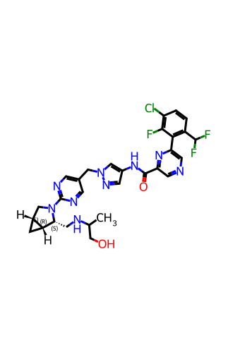 CC(CO)NC[C@@H]1[C@@H]2C[C@@H]2CN1c1ncc(Cn2cc(NC(=O)c3cncc(-c4c(C(F)F)ccc(Cl)c4F)n3)cn2)cn1